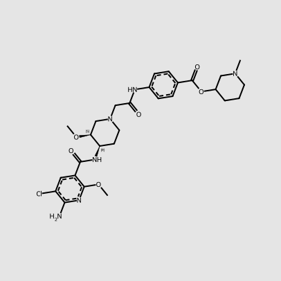 COc1nc(N)c(Cl)cc1C(=O)N[C@@H]1CCN(CC(=O)Nc2ccc(C(=O)OC3CCCN(C)C3)cc2)C[C@@H]1OC